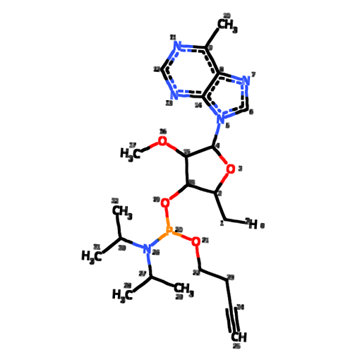 [2H]CC1OC(n2cnc3c(C)ncnc32)C(OC)C1OP(OCCC#C)N(C(C)C)C(C)C